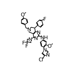 COc1ccc(CN2Cc3c(nc(Nc4ccc(-n5cnc(Cl)c5)c(OC)c4)nc3N3CC(F)(F)C3)C(c3ccc(F)cc3)C2)cc1